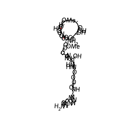 CO[C@H]1C[C@@H]2CC[C@@H](C)[C@@](O)(O2)C(=O)C(=O)N2CCCC[C@H]2C(=O)O[C@H]([C@H](N)C[C@@H]2CC[C@@H](OCc3cccc(-c4cnc(N5CCN(CC6=CN(CCOCCOCCOCCC(=O)NCCCCn7nc(-c8ccc9oc(N)nc9c8)c8c(N)ncnc87)NN6)C(CO)C5)nc4)c3)[C@H](OC)C2)CC(=O)[C@H](C)/C=C(\C)[C@@H](O)[C@@H](O)C(=O)[C@H](C)C[C@H](C)/C=C/C=C/C=C/1C